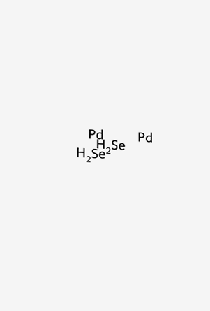 [Pd].[Pd].[SeH2].[SeH2]